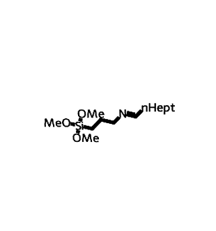 CCCCCCCC=NCCC[Si](OC)(OC)OC